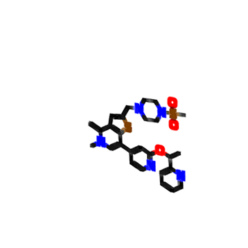 C=C1c2cc(CN3CCN(S(C)(=O)=O)CC3)sc2C(c2ccnc(OC(C)c3ccccn3)c2)=CN1C